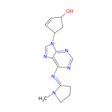 CN1CCCC1=Nc1ncnc2c1ncn2C1C=CC(O)C1